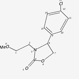 COCCN1C(=O)OCC1c1ccc(Cl)cc1